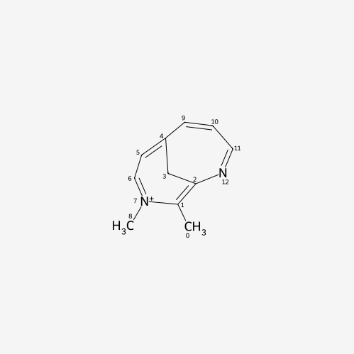 CC1=C2CC(=CC=[N+]1C)C=CC=N2